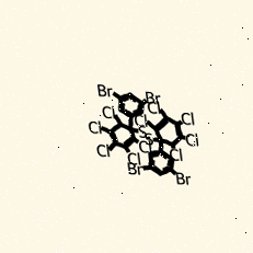 ClC1=C(Cl)C(Cl)C(SSC2(c3cc(Br)cc(Br)c3)C(Cl)=C(Cl)C(Cl)=C(Cl)C2Cl)(c2cc(Br)cc(Br)c2)C(Cl)=C1Cl